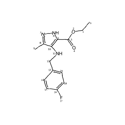 CCOC(=O)c1[nH]nc(C)c1NCc1ccc(F)cc1